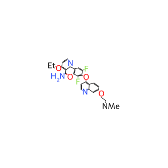 CCOc1ccnc(-c2cc(F)c(Oc3ccnc4cc(OCCNC)ccc34)c(F)c2)c1C(N)=O